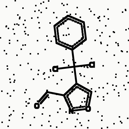 O=[C]c1nocc1C(Cl)(Cl)c1ccccc1